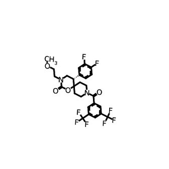 COCCN1C[C@H](c2ccc(F)c(F)c2)C2(CCN(C(=O)c3cc(C(F)(F)F)cc(C(F)(F)F)c3)CC2)OC1=O